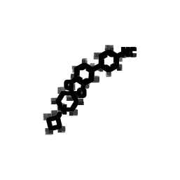 [C-]#[N+]c1ccc(-c2ccc3c(c2)OC2(CCN(C4CCC4)CC2)O3)cc1